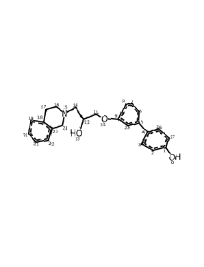 Oc1ccc(-c2cccc(OCC(O)CN3CCc4ccccc4C3)c2)cc1